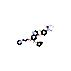 COc1cc2c(Oc3ccc(N(C(C)=O)C(N)=O)cc3F)ccnc2cc1OCCCN1CCCC1.c1cc2cc-2c1